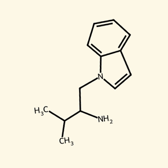 CC(C)C(N)Cn1ccc2ccccc21